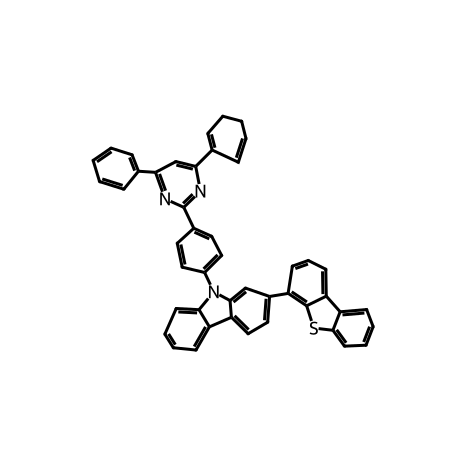 C1=CC(c2cc(-c3ccccc3)nc(-c3ccc(-n4c5ccccc5c5ccc(-c6cccc7c6sc6ccccc67)cc54)cc3)n2)=CCC1